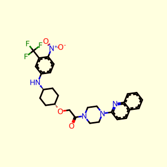 O=C(CO[C@H]1CC[C@H](Nc2ccc([N+](=O)[O-])c(C(F)(F)F)c2)CC1)N1CCN(c2ccc3ccccc3n2)CC1